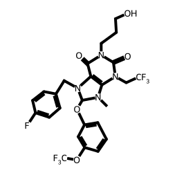 CN1c2c(c(=O)n(CCCO)c(=O)n2CC(F)(F)F)N(Cc2ccc(F)cc2)C1Oc1cccc(OC(F)(F)F)c1